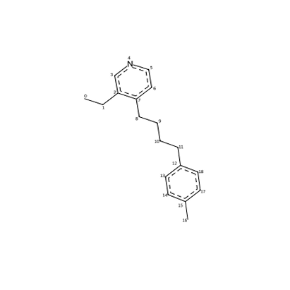 CCc1cnccc1CCCCc1ccc(C)cc1